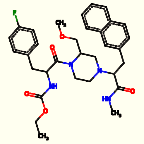 CCOC(=O)NC(Cc1ccc(F)cc1)C(=O)N1CCN(C(Cc2ccc3ccccc3c2)C(=O)NC)CC1COC